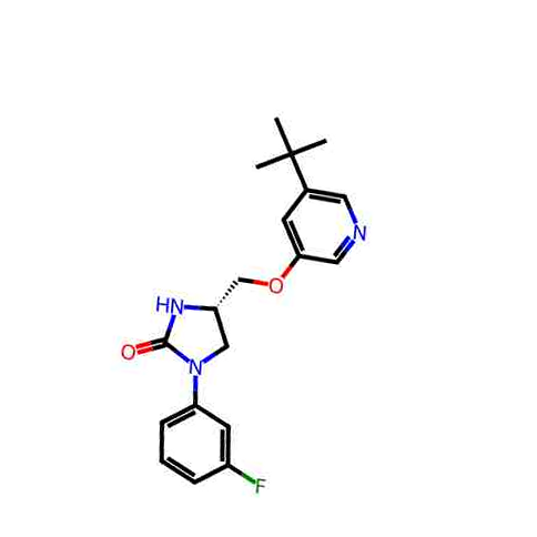 CC(C)(C)c1cncc(OC[C@@H]2CN(c3cccc(F)c3)C(=O)N2)c1